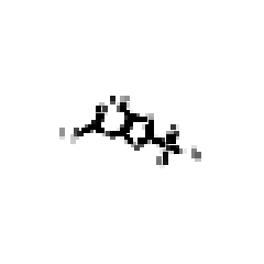 NC(=O)Oc1sc(S(N)(=O)=O)nc1C(F)(F)F